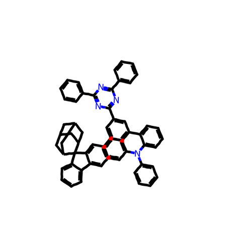 c1ccc(-c2nc(-c3ccccc3)nc(-c3cc(-c4ccc5c(c4)C4(c6ccccc6-5)C5CC6CC(C5)CC4C6)cc(-c4ccccc4N(c4ccccc4)c4ccccc4)c3)n2)cc1